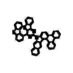 c1ccc2cc3c(cc2c1)c1c2c4ccccc4c4ccccc4c2ccc1n3-c1nc(-c2cccc3sc4ccccc4c23)c2sc3ccccc3c2n1